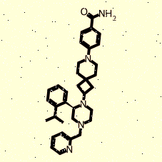 CC(C)c1ccccc1[C@@H]1CN(Cc2ccccn2)CCN1C1CC2(CCN(c3ccc(C(N)=O)cc3)CC2)C1